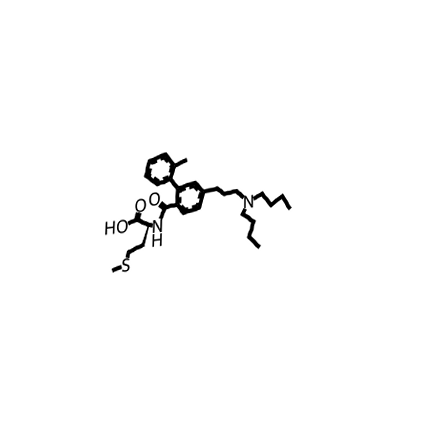 CCCCN(CCCC)CCCc1ccc(C(=O)N[C@@H](CCSC)C(=O)O)c(-c2ccccc2C)c1